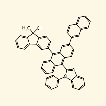 CC1(C)c2ccccc2-c2cc(-c3c4ccccc4c(-c4nc5ccccc5n4-c4ccccc4)c4ccc(-c5ccc6ccccc6c5)cc34)ccc21